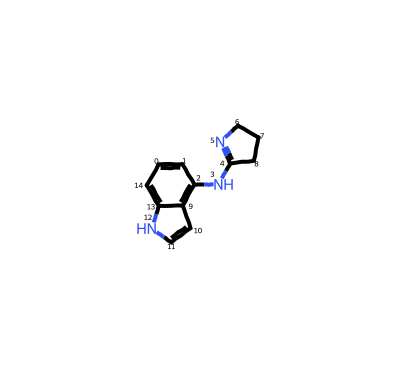 c1cc(NC2=NCCC2)c2cc[nH]c2c1